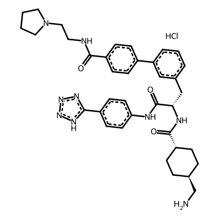 Cl.NC[C@H]1CC[C@H](C(=O)N[C@@H](Cc2cccc(-c3ccc(C(=O)NCCN4CCCC4)cc3)c2)C(=O)Nc2ccc(-c3nnn[nH]3)cc2)CC1